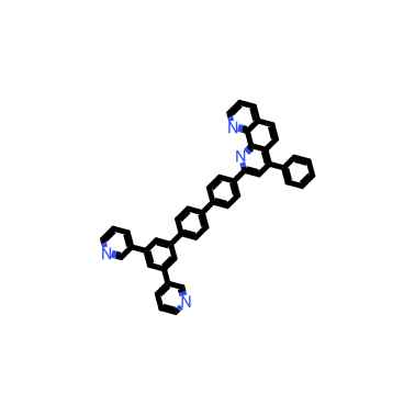 c1ccc(-c2cc(-c3ccc(-c4ccc(-c5cc(-c6cccnc6)cc(-c6cccnc6)c5)cc4)cc3)nc3c2ccc2cccnc23)cc1